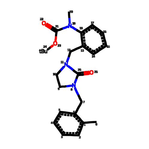 Cc1ccccc1CN1CCN(Cc2ccccc2N(C)C(=O)OC(C)(C)C)C1=O